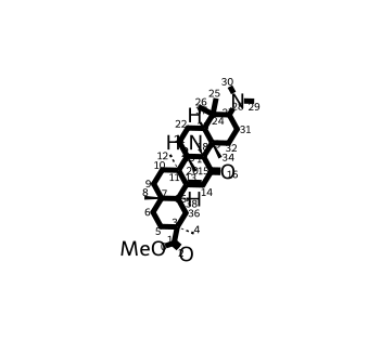 COC(=O)[C@@]1(C)CC[C@]2(C)CC[C@]3(C)C(=CC(=O)[C@@]4(N)[C@@]3(C)CC[C@H]3C(C)(C)C(N(C)C)CC[C@@]34C)[C@H]2C1